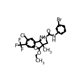 CCOC(=O)C1(C)CN(C(=O)Nc2cccc(Br)c2)N=C1c1ccc(C(F)(F)F)c(Cl)c1